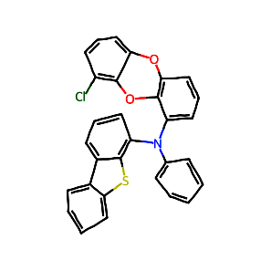 Clc1cccc2c1Oc1c(cccc1N(c1ccccc1)c1cccc3c1sc1ccccc13)O2